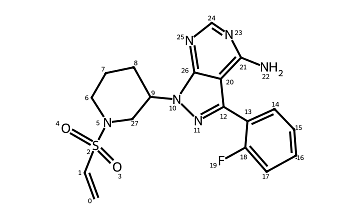 C=CS(=O)(=O)N1CCCC(n2nc(-c3cc[c]cc3F)c3c(N)ncnc32)C1